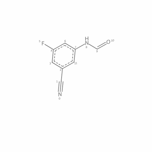 N#Cc1cc(F)cc(NC=O)c1